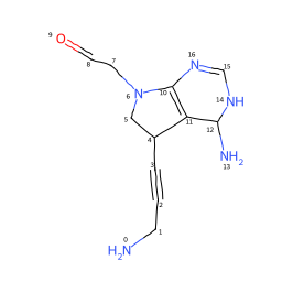 NCC#CC1CN(CC=O)C2=C1C(N)NC=N2